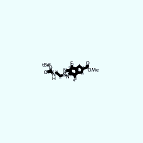 COC(=O)C1Cc2c(c(F)c3nn(CCNC(=O)OC(C)(C)C)nc3c2F)C1